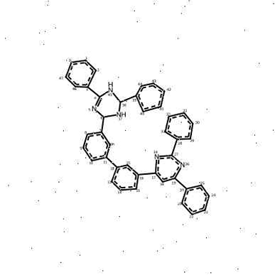 c1ccc(C2=NC(c3cccc(-c4cccc(-c5cc(-c6ccccc6)nc(-c6ccccc6)n5)c4)c3)NC(c3ccccc3)N2)cc1